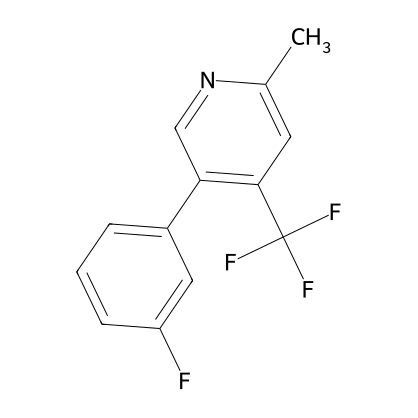 Cc1cc(C(F)(F)F)c(-c2cccc(F)c2)cn1